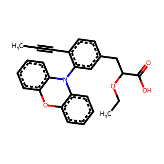 CC#Cc1ccc(CC(OCC)C(=O)O)cc1N1c2ccccc2Oc2ccccc21